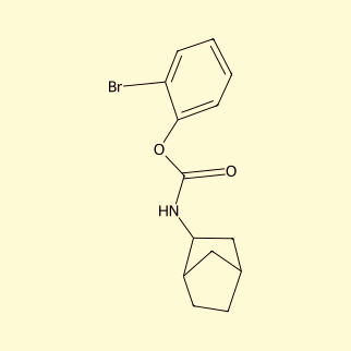 O=C(NC1CC2CCC1C2)Oc1ccccc1Br